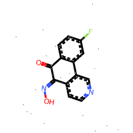 O=C1/C(=N/O)c2ccncc2-c2cc(F)ccc21